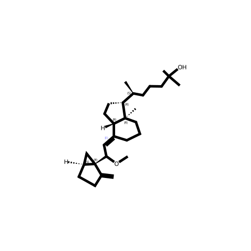 C=C1CC[C@H]2C[C@]12C(/C=C1\CCC[C@]2(C)[C@@H]([C@@H](C)CCCC(C)(C)O)CC[C@@H]12)OC